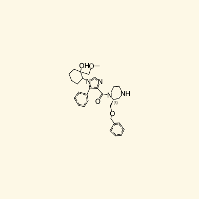 COCC1(O)CCCCC1n1cnc(C(=O)N2CCNC[C@H]2COCc2ccccc2)c1-c1ccccc1